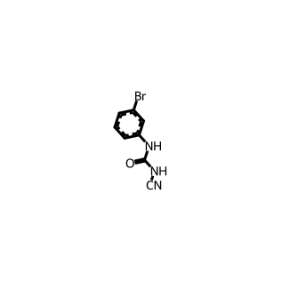 N#CNC(=O)Nc1cccc(Br)c1